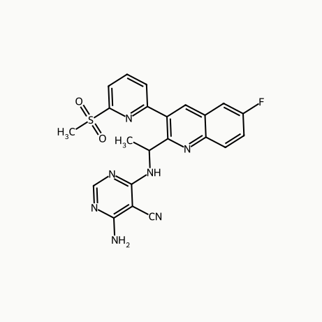 CC(Nc1ncnc(N)c1C#N)c1nc2ccc(F)cc2cc1-c1cccc(S(C)(=O)=O)n1